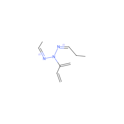 C=CC(=C)N(/N=C\C)/N=C\CC